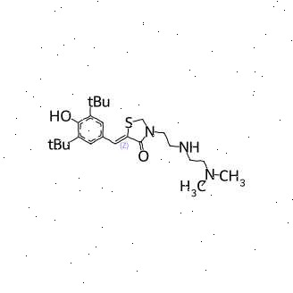 CN(C)CCNCCN1CS/C(=C\c2cc(C(C)(C)C)c(O)c(C(C)(C)C)c2)C1=O